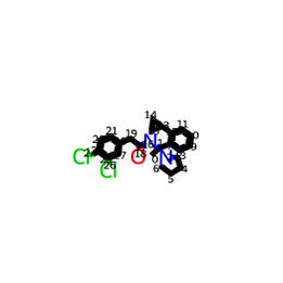 CC1(N2CCCC2)c2ccccc2C2CC2N1C(=O)Cc1ccc(Cl)c(Cl)c1